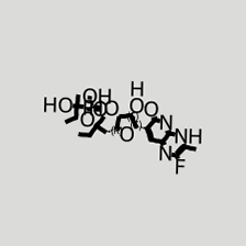 CCC(C)(C[C@H]1O[C@@H](c2cc3nc(F)c(C)[nH]c-3nc2=O)[C@@H](O)C1O)OP(=O)(O)C(C)(O)CC